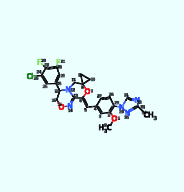 COc1cc(/C=C2\OC3(CC3)CN3C2=NOCC3c2cc(F)c(F)c(Cl)c2)ccc1-n1cnc(C)n1